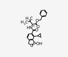 CC(C)[C@H](NC(=O)c1ccc2c(c1C1CC1)B(O)OC2)C(=O)OCc1ccccc1